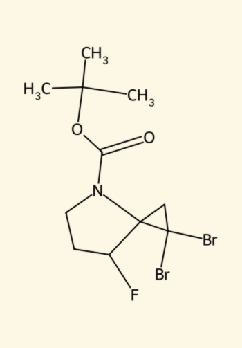 CC(C)(C)OC(=O)N1CCC(F)C12CC2(Br)Br